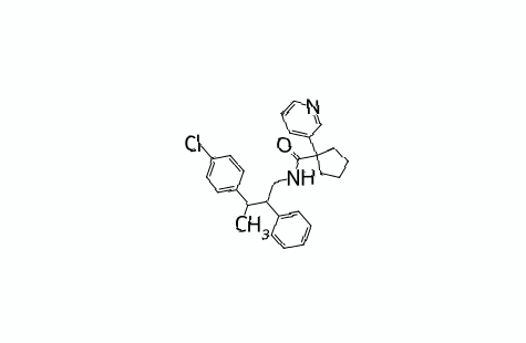 CC(c1ccc(Cl)cc1)C(CNC(=O)C1(c2cccnc2)CCCC1)c1ccccc1